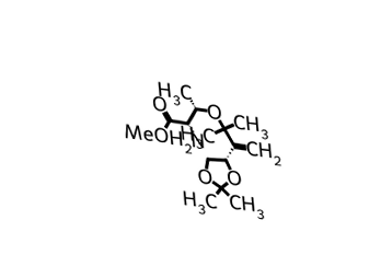 C=C([C@H]1COC(C)(C)O1)C(C)(C)O[C@@H](C)[C@H](N)C(=O)OC